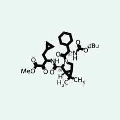 COC(=O)C(=O)C(CC1CC1)NC(=O)[C@@H]1[C@@H]2C(CN1C(=O)[C@@H](NC(=O)OC(C)(C)C)C1CCCCC1)C2(C)C